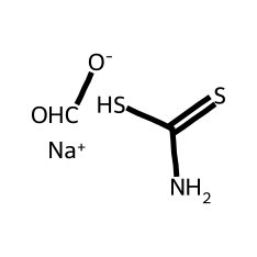 NC(=S)S.O=C[O-].[Na+]